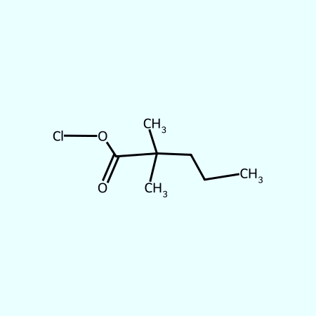 CCCC(C)(C)C(=O)OCl